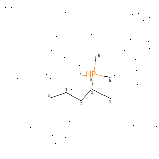 CCCC(C)[PH](C)(C)C